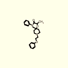 CC1OC2(CCN(CCOc3ccccc3)CC2)CN(c2ccccc2)C1=O